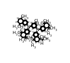 CNC1(C)CCC(C)(C)c2ccc(N(c3cc(Cl)cc(N(c4ccc5c(c4)C(C)CCC5C)c4ccc5c(c4)C(C)(C)CCC5(C)C)c3)c3ccc4c(c3)C(C)(C)CCC4(C)C)cc21